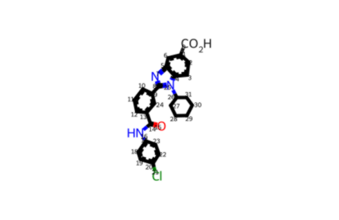 O=C(O)c1ccc2c(c1)nc(-c1cccc(C(=O)Nc3ccc(Cl)cc3)c1)n2C1CCCCC1